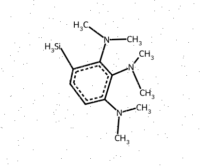 CN(C)c1ccc([SiH3])c(N(C)C)c1N(C)C